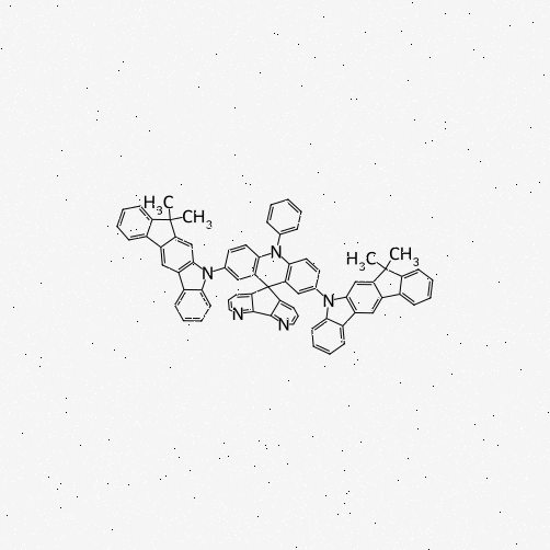 CC1(C)c2ccccc2-c2cc3c4ccccc4n(-c4ccc5c(c4)C4(c6cc(-n7c8ccccc8c8cc9c(cc87)C(C)(C)c7ccccc7-9)ccc6N5c5ccccc5)c5cccnc5-c5ncccc54)c3cc21